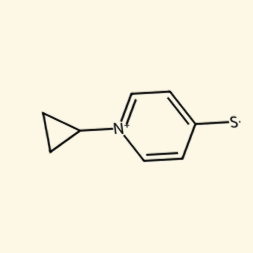 [S]c1cc[n+](C2CC2)cc1